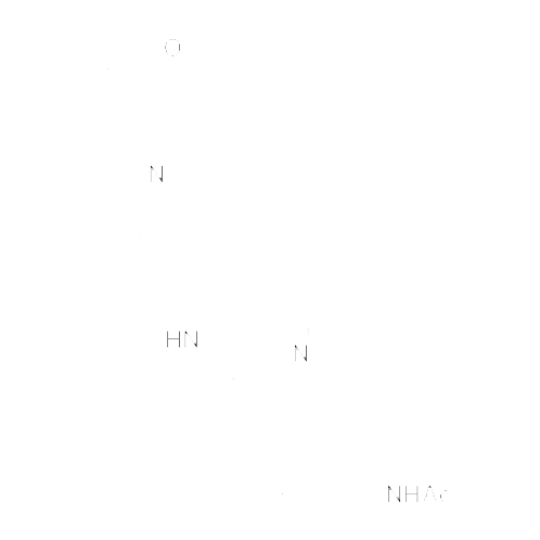 CC(=O)Nc1ccc(NCCN2CCOCC2)nc1